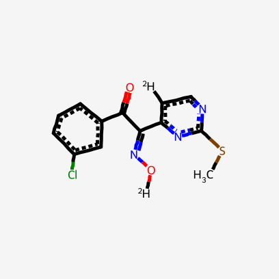 [2H]ON=C(C(=O)c1cccc(Cl)c1)c1nc(SC)ncc1[2H]